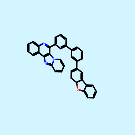 C1=C(c2cccc(-c3cccc(-c4nc5ccccc5c5nc6ccccn6c45)c3)c2)C=C2c3ccccc3OC2C1